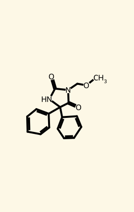 COCN1C(=O)NC(c2ccccc2)(c2ccccc2)C1=O